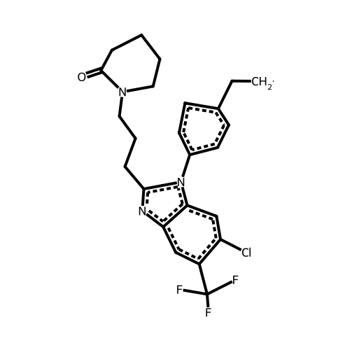 [CH2]Cc1ccc(-n2c(CCCN3CCCCC3=O)nc3cc(C(F)(F)F)c(Cl)cc32)cc1